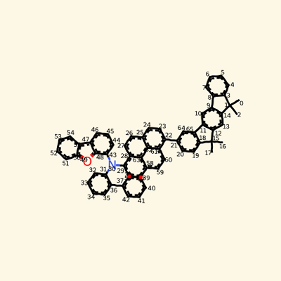 CC1(C)c2ccccc2-c2cc3c(cc21)C(C)(C)c1ccc(-c2ccc4ccc5c(N(c6ccccc6-c6ccccc6)c6cccc7c6oc6ccccc67)ccc6ccc2c4c65)cc1-3